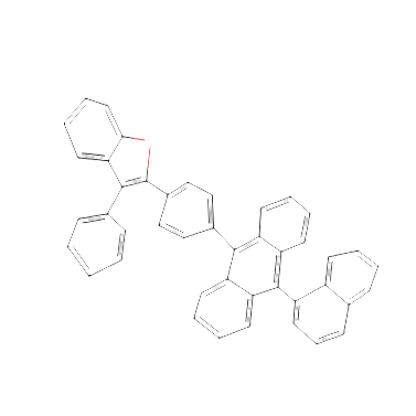 c1ccc(-c2c(-c3ccc(-c4c5ccccc5c(-c5cccc6ccccc56)c5ccccc45)cc3)oc3ccccc23)cc1